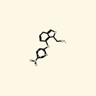 CCC1OC=C2CC=CC(Oc3ccc([N+](=O)[O-])cn3)=C21